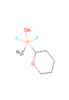 CP(O)(F)(F)C1CCCCO1